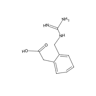 N=C(N)NCc1ccccc1CC(=O)O